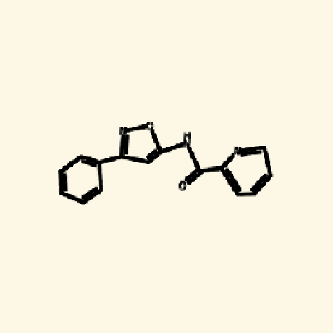 O=C(Nc1cc(-c2ccccc2)no1)c1ccccn1